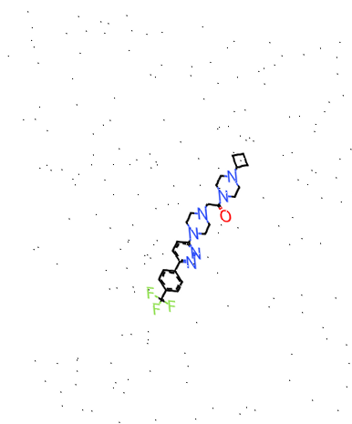 O=C(CN1CCN(c2ccc(-c3ccc(C(F)(F)F)cc3)nn2)CC1)N1CCN(C2CCC2)CC1